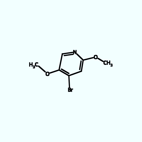 COc1cc(Br)c(OC)cn1